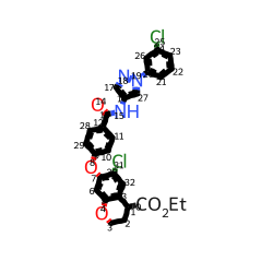 CCOC(=O)C1CCOc2cc(Oc3ccc(C(=O)Nc4cnn(-c5cccc(Cl)c5)c4)cc3)c(Cl)cc21